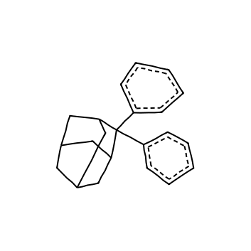 c1ccc(C2(c3ccccc3)C3CC4CC(C3)CC2C4)cc1